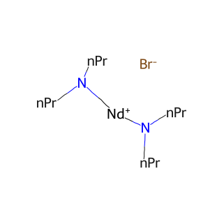 CCC[N](CCC)[Nd+][N](CCC)CCC.[Br-]